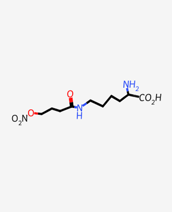 NC(CCCCNC(=O)CCCO[N+](=O)[O-])C(=O)O